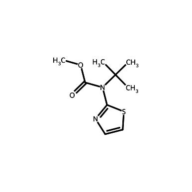 COC(=O)N(c1nccs1)C(C)(C)C